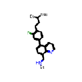 CCCCC(CC)CCc1ccc(-c2ccc(CNCC)c3ncccc23)cc1F